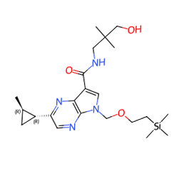 C[C@@H]1C[C@H]1c1cnc2c(n1)c(C(=O)NCC(C)(C)CO)cn2COCC[Si](C)(C)C